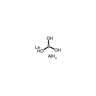 OB(O)O.[AlH3].[La]